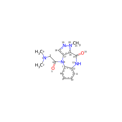 CN(C)CC(=O)N1c2ccccc2NC(=O)c2c1cnn2C